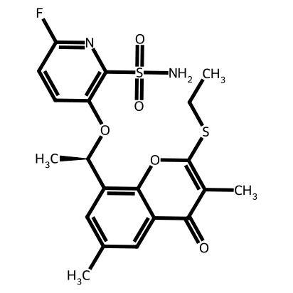 CCSc1oc2c([C@@H](C)Oc3ccc(F)nc3S(N)(=O)=O)cc(C)cc2c(=O)c1C